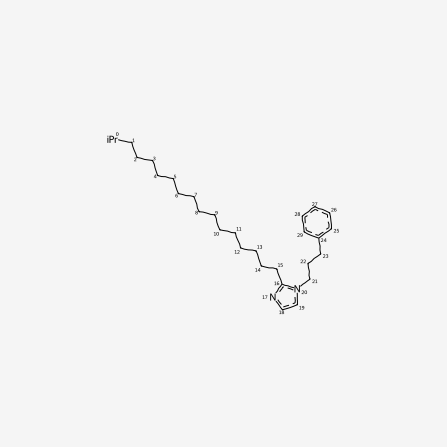 CC(C)CCCCCCCCCCCCCCCc1nccn1CCCc1ccccc1